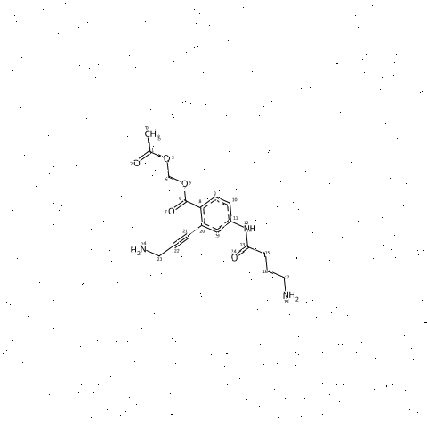 CC(=O)OCOC(=O)c1ccc(NC(=O)CCCN)cc1C#CCN